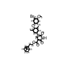 COc1ccc(Oc2c(C)cc(-n3nc(C(=O)OCCC4=CCC5CC4C5(C)C)c(=O)[nH]c3=O)cc2C)cc1Br